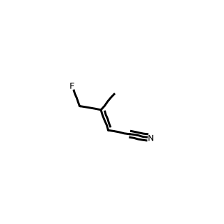 C/C(=C\C#N)CF